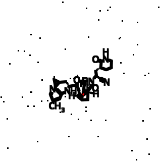 Cc1cncc(N[C@H](CC2CC2)C(=O)N2[C@H]3CC[C@@H]([C@@H]2C(=O)N[C@H](C#N)C[C@H]2CCCNC2=O)C(F)(F)C3)c1